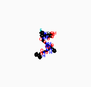 CC[C@@]1(O)C(=O)OCc2c1cc1n(c2=O)Cc2c-1nc1cc(F)c(C)c3c1c2[C@@H](NC(=O)C(C)(C)COCNC(=O)CNC(=O)[C@H](Cc1ccccc1)NC(=O)CNC(=O)CNC(=O)OCC1c2ccccc2-c2ccccc21)CC3